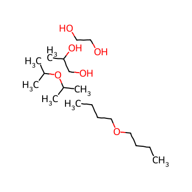 CC(C)OC(C)C.CC(O)CO.CCCCOCCCC.OCCO